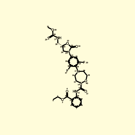 CCOC(=O)c1ccccc1NC(=O)N1CCN(c2c(F)cc(N3C[C@H](CNC(=S)OC)OC3=O)cc2F)CCO1